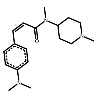 CN1CCC(N(C)C(=O)/C=C\c2ccc(N(C)C)cc2)CC1